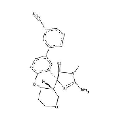 CN1C(=O)[C@]2(N=C1N)c1cc(-c3cccc(C#N)c3)ccc1OC1CCOC[C@H]12